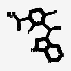 NC(=O)c1ccc(F)c(C(O)c2c[nH]c3ncncc23)c1F